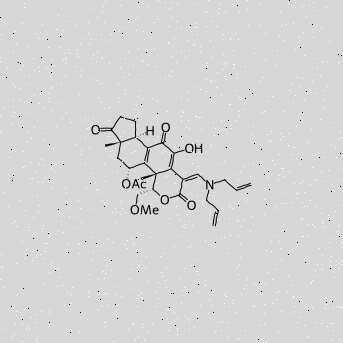 C=CCN(/C=C1\C(=O)O[C@H](COC)[C@@]2(C)C1=C(O)C(=O)C1=C2[C@H](OC(C)=O)C[C@]2(C)C(=O)CC[C@@H]12)CC=C